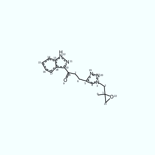 CC1(Cn2cc(CCC(=O)c3n[nH]c4ccccc34)nn2)CO1